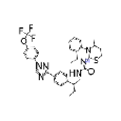 CCc1ccccc1N1/C(=N/C(=O)NCC(CC)c2ccc(-c3ncn(-c4ccc(OC(F)(F)F)cc4)n3)cc2)SCCC1C